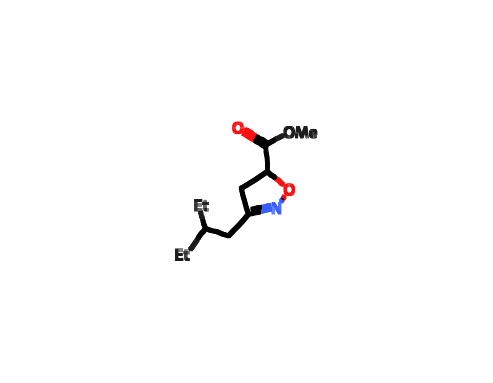 CCC(CC)CC1=NOC(C(=O)OC)C1